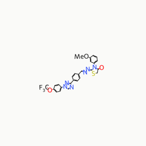 COc1cccc(N2C(=O)CS/C2=N\N=C\c2ccc(-c3ncn(-c4ccc(OC(F)(F)F)cc4)n3)cc2)c1